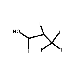 OC(I)C(I)C(I)(I)I